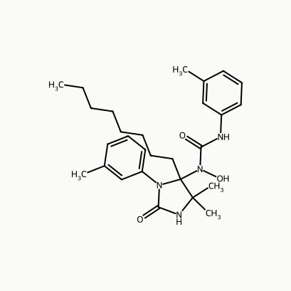 CCCCCCCCC1(N(O)C(=O)Nc2cccc(C)c2)N(c2cccc(C)c2)C(=O)NC1(C)C